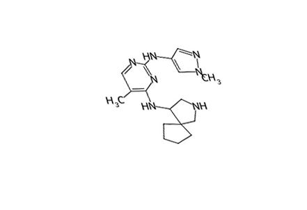 Cc1cnc(Nc2cnn(C)c2)nc1NC1CNCC12CCCC2